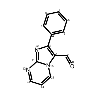 O=Cc1c(-c2ccccc2)nc2ncccn12